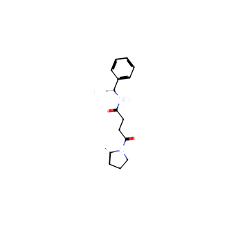 C[C@H](NC(=O)CCC(=O)N1CCC[C@H]1C=O)c1ccccc1